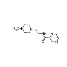 CN1CCN(CCNC(=O)c2cnccn2)CC1